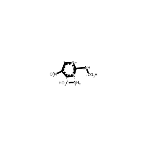 NC(=O)O.O=C(O)Nc1ncc([N+](=O)[O-])cn1